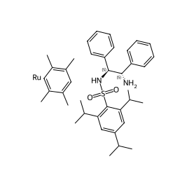 CC(C)c1cc(C(C)C)c(S(=O)(=O)N[C@@H](c2ccccc2)[C@@H](N)c2ccccc2)c(C(C)C)c1.Cc1cc(C)c(C)cc1C.[Ru]